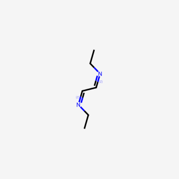 CC/N=C\C=N/CC